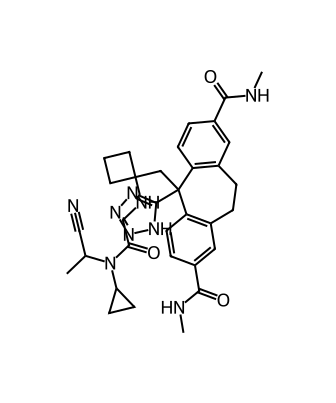 CNC(=O)c1ccc2c(c1)CCc1cc(C(=O)NC)ccc1C2(CC1(NCC(=O)N(C(C)C#N)C2CC2)CCC1)c1nnn[nH]1